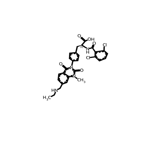 CCNCc1ccc2c(=O)n(-c3ccc(C[C@H](NC(=O)c4c(Cl)cccc4Cl)C(=O)O)cc3)c(=O)n(C)c2c1